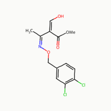 COC(=O)C(=CO)C(C)=NOCc1ccc(Cl)c(Cl)c1